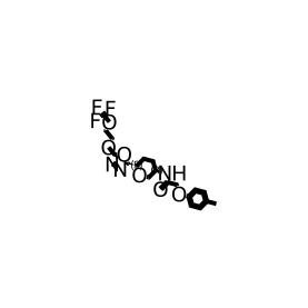 Cc1ccc(OCC(=O)N[C@@H]2CC[C@@H](c3nnc(OCCOC(F)(F)F)o3)OC2)cc1